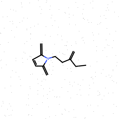 C=C(CC)CCn1c(=C)ccc1=C